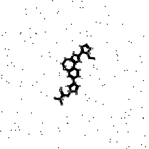 CCn1ncnc1-c1nc2c(s1)CCOc1cc(-c3cnn(CC(=O)N(C)C)c3)ccc1-2